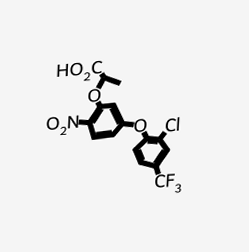 CC(Oc1cc(Oc2ccc(C(F)(F)F)cc2Cl)ccc1[N+](=O)[O-])C(=O)O